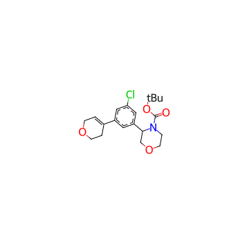 CC(C)(C)OC(=O)N1CCOCC1c1cc(Cl)cc(C2=CCOCC2)c1